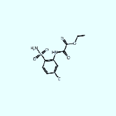 CCOC(=O)C(=O)Nc1cc(Cl)ccc1S(N)(=O)=O